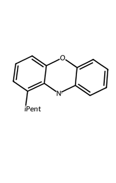 CCCC(C)c1cccc2c1[N]c1ccccc1O2